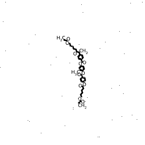 C=CC(=O)OCCCCCC(=O)Oc1ccc(C(=O)Oc2ccc(OC(=O)c3ccc(C(=C)C(=O)CCCCCOC(=O)C=C)cc3)cc2C)cc1